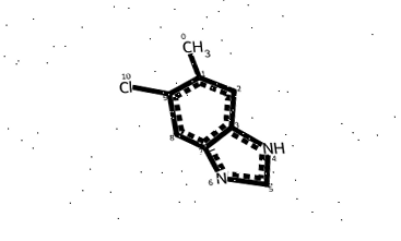 Cc1cc2[nH][c]nc2cc1Cl